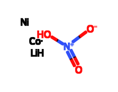 O=[N+]([O-])O.[Co].[LiH].[Ni]